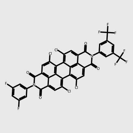 O=C1c2cc(Cl)c3c4c(Cl)cc5c6c(cc(Cl)c(c7c(Cl)cc(c2c37)C(=O)N1c1cc(F)cc(F)c1)c64)C(=O)N(c1cc(C(F)(F)F)cc(C(F)(F)F)c1)C5=O